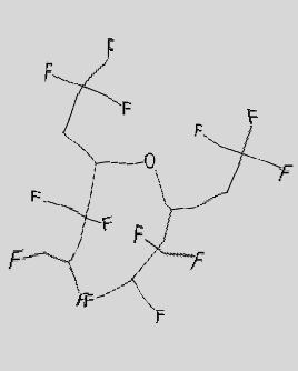 FC(F)C(F)(F)C(CC(F)(F)F)OC(CC(F)(F)F)C(F)(F)C(F)F